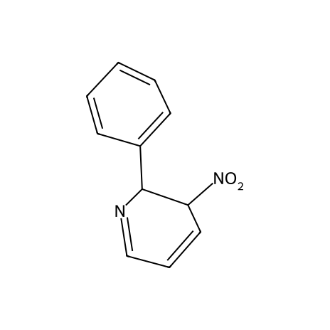 O=[N+]([O-])C1C=CC=NC1c1ccccc1